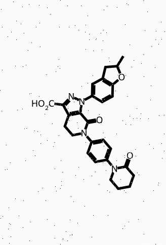 CC1Cc2cc(-n3nc(C(=O)O)c4c3C(=O)N(c3ccc(N5CCCCC5=O)cc3)CC4)ccc2O1